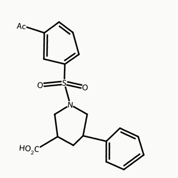 CC(=O)c1cccc(S(=O)(=O)N2CC(C(=O)O)CC(c3ccccc3)C2)c1